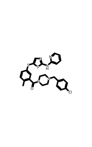 Cc1ccc(Sc2cnc(Nc3ccccn3)s2)cc1C(=O)N1CCN(Cc2ccc(Cl)cc2)CC1